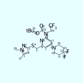 Cc1cc(SCc2cc(N3CCC(F)(F)CC3)cc(N(CC(F)(F)F)C(=O)OC(C)(C)C)n2)nn1C